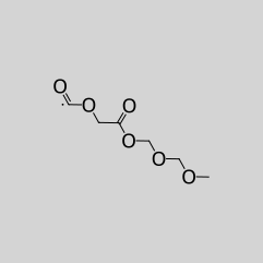 COCOCOC(=O)CO[C]=O